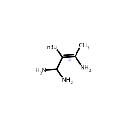 CCCC/C(=C(\C)N)C(N)N